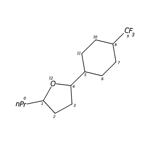 CCCC1CCC(C2CCC(C(F)(F)F)CC2)O1